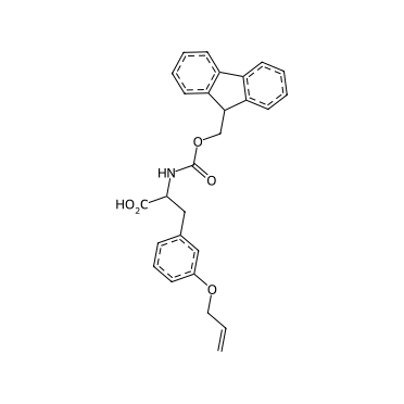 C=CCOc1cccc(CC(NC(=O)OCC2c3ccccc3-c3ccccc32)C(=O)O)c1